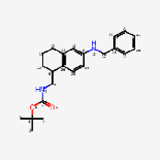 CC(C)(C)OC(=O)NCC1CCCc2cc(NCc3ccccc3)ccc21